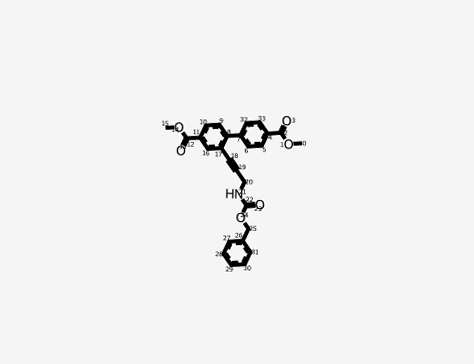 COC(=O)c1ccc(-c2ccc(C(=O)OC)cc2C#CCNC(=O)OCc2ccccc2)cc1